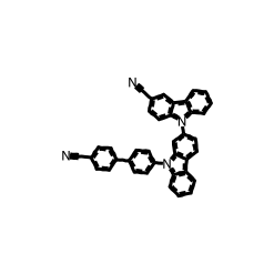 N#Cc1ccc(-c2ccc(-n3c4ccccc4c4ccc(-n5c6ccccc6c6cc(C#N)ccc65)cc43)cc2)cc1